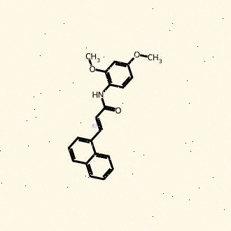 COc1ccc(NC(=O)/C=C/c2cccc3ccccc23)c(OC)c1